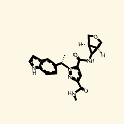 CNC(=O)c1cc(C(=O)NC2[C@H]3COC[C@@H]23)n([C@@H](C)c2ccc3[nH]ccc3c2)n1